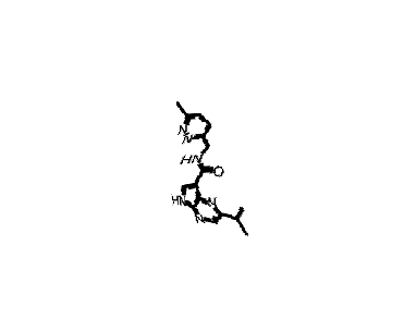 Cc1ccc(CNC(=O)c2c[nH]c3ncc(C(C)C)nc23)nn1